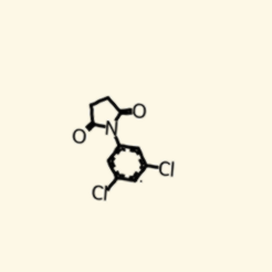 O=C1CCC(=O)N1c1cc(Cl)[c]c(Cl)c1